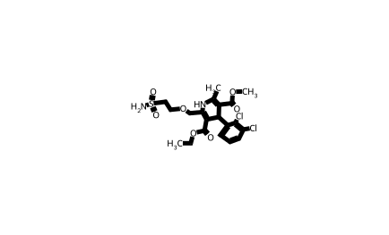 CCOC(=O)C1=C(COCCS(N)(=O)=O)NC(C)=C(C(=O)OC)C1c1cccc(Cl)c1Cl